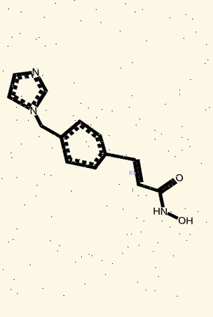 O=C(/C=C/c1ccc(Cn2ccnc2)cc1)NO